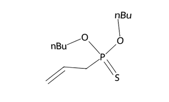 C=CCP(=S)(OCCCC)OCCCC